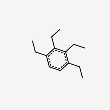 CCc1ccc(CC)c(CC)c1CC